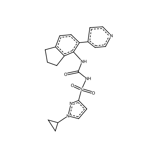 O=C(Nc1c(-c2ccncc2)ccc2c1CCC2)NS(=O)(=O)c1ccn(C2CC2)n1